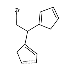 [Zr][CH2]C(C1=CC=CC1)C1=CC=CC1